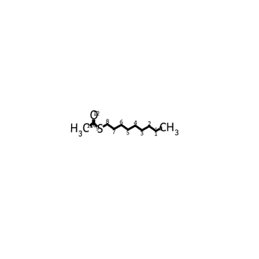 C[CH]CCCCCCCSC(C)=O